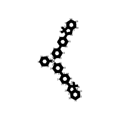 CC1(C)C(c2ccc(-c3ccc(N(c4ccccc4)c4ccc(-c5ccc(C6=Cc7ccccc7C6(C)C)cc5)cc4)cc3)cc2)=Cc2ccccc21